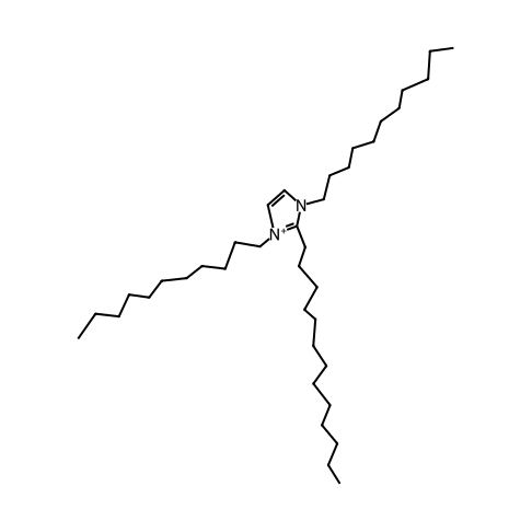 CCCCCCCCCCCCCc1n(CCCCCCCCCCC)cc[n+]1CCCCCCCCCCC